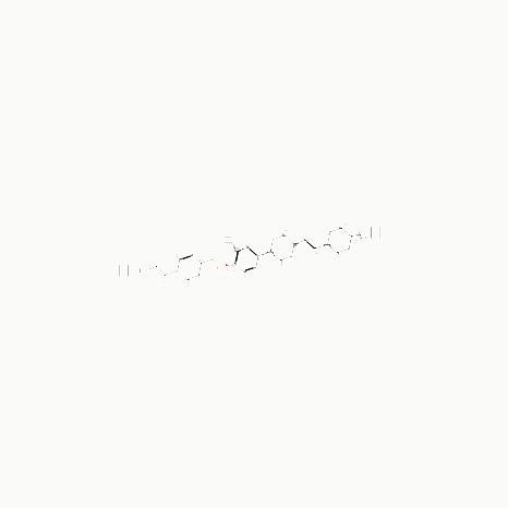 CCCC1C=CC(COc2ccc(C3CCC(/C=C/C4CCC(C)CC4)CC3)cc2F)CC1